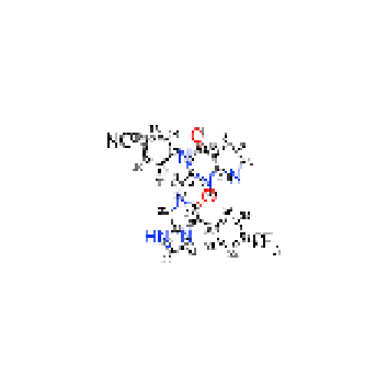 C[C@H](c1nc2ncccc2c(=O)n1-c1ccc(C#N)cc1)N(Cc1ncc[nH]1)C(=O)Cc1ccc(C(F)(F)F)cc1